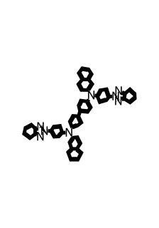 c1ccc2cc(N(c3ccc(-c4ccc(N(c5ccc(-n6nc7ccccc7n6)cc5)c5ccc6ccccc6c5)cc4)cc3)c3ccc(-n4nc5ccccc5n4)cc3)ccc2c1